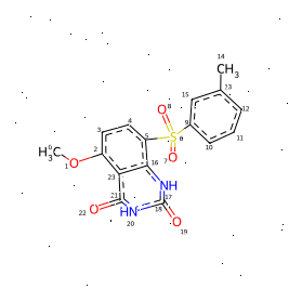 COc1ccc(S(=O)(=O)c2cccc(C)c2)c2[nH]c(=O)[nH]c(=O)c12